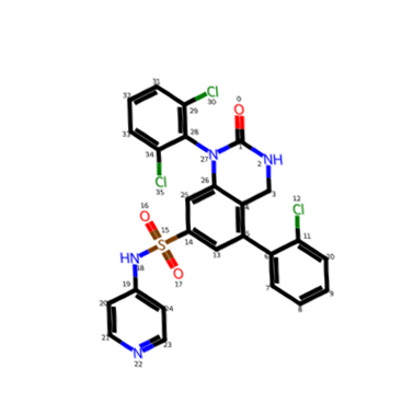 O=C1NCc2c(-c3ccccc3Cl)cc(S(=O)(=O)Nc3ccncc3)cc2N1c1c(Cl)cccc1Cl